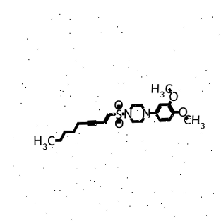 CCCCCC#CC=CS(=O)(=O)N1CCN(c2ccc(OC)c(OC)c2)CC1